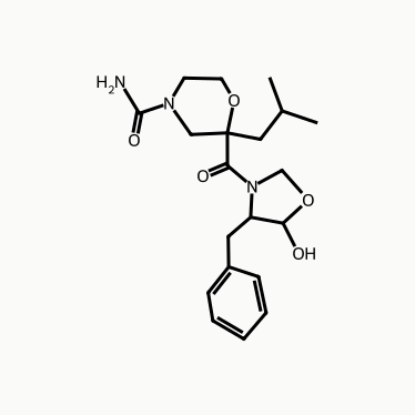 CC(C)CC1(C(=O)N2COC(O)C2Cc2ccccc2)CN(C(N)=O)CCO1